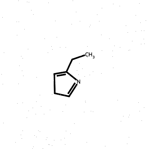 CCC1=CCC=N1